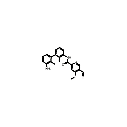 COc1cc(C(=O)Nc2cccc(-c3cccc(N)c3C)c2C)ncc1C=O